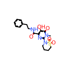 Cn1c(N2CCCCS2(=O)=O)nc(C(=O)NCCc2ccccc2)c(O)c1=O